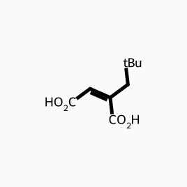 CC(C)(C)CC(=CC(=O)O)C(=O)O